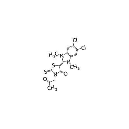 CC(=O)CN1C(=O)C(=C2N(C)c3cc(Cl)c(Cl)cc3N2C)SC1=S